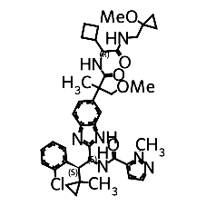 COCC(C)(C(=O)N[C@@H](C(=O)NCC1(OC)CC1)C1CCC1)c1ccc2nc([C@@H](NC(=O)c3ccnn3C)[C@H](c3ccccc3Cl)C3(C)CC3)[nH]c2c1